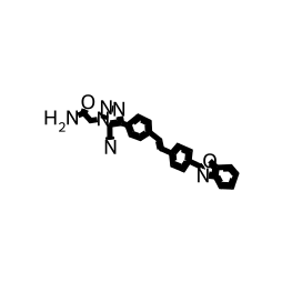 N#Cc1c(-c2ccc(C=Cc3ccc(-c4nc5ccccc5o4)cc3)cc2)nnn1CC(N)=O